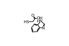 O=C(O)CS.c1ccc2[nH]cnc2c1